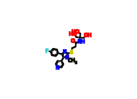 Cn1c(SCCC(=O)NC(CO)(CO)CO)nc(-c2ccc(F)cc2)c1-c1ccncc1